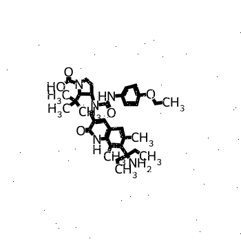 CCOc1ccc(NC(=O)N(Cc2cc3cc(C)c(C(N)(CC)CC)c(C)c3[nH]c2=O)C2CCN(C(=O)O)C2C(C)(C)C)cc1